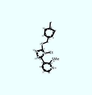 CCn1c(SCc2ccc(C)cc2)nnc1-c1cccnc1SC